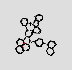 C1=Cc2cccc(-c3ccc(N(c4ccccc4)c4ccc(-c5ccccc5-n5c6ccccc6c6ccccc65)cc4-c4ccc5ccccc5c4)cc3)c2CC1